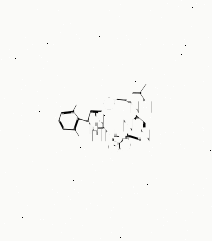 Cc1cccc(C)c1-c1cc2nc(n1)NS(=O)(=O)c1cncc(n1)N[C@H](CC(C)C)CO2